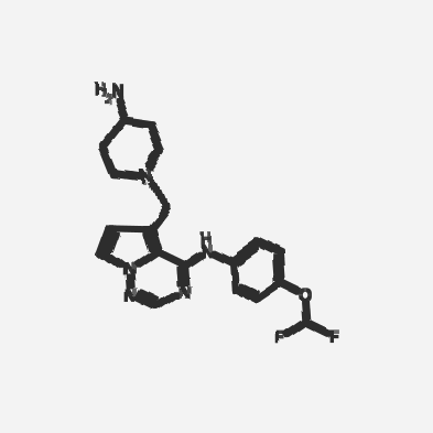 NC1CCN(Cc2ccn3ncnc(Nc4ccc(OC(F)F)cc4)c23)CC1